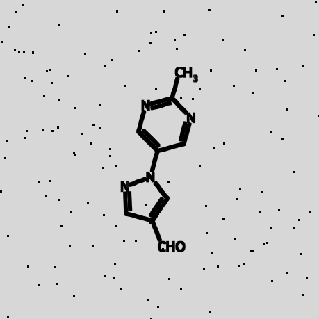 Cc1ncc(-n2cc(C=O)cn2)cn1